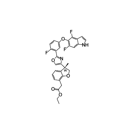 CCOC(=O)Cc1cccc2c1OC[C@@]2(C)c1coc(-c2cc(Oc3c(F)cc4[nH]ccc4c3F)ccc2F)n1